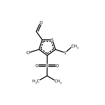 CSc1sc(C=O)c(Cl)c1S(=O)(=O)C(C)C